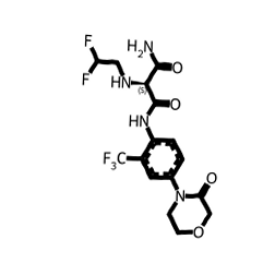 NC(=O)[C@H](NCC(F)F)C(=O)Nc1ccc(N2CCOCC2=O)cc1C(F)(F)F